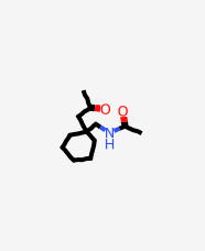 CC(=O)CC1(CNC(C)=O)CCCCC1